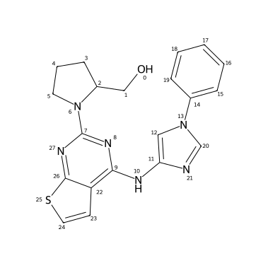 OCC1CCCN1c1nc(Nc2cn(-c3ccccc3)cn2)c2ccsc2n1